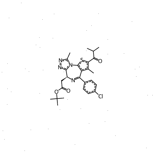 Cc1c(C(=O)C(C)C)sc2c1C(c1ccc(Cl)cc1)=N[C@@H](CC(=O)OC(C)(C)C)c1nnc(C)n1-2